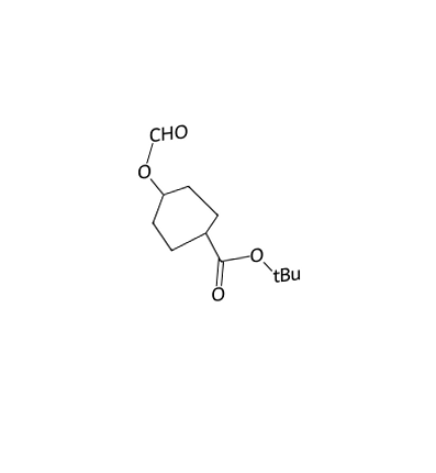 CC(C)(C)OC(=O)C1CCC(OC=O)CC1